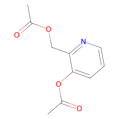 CC(=O)OCc1ncccc1OC(C)=O